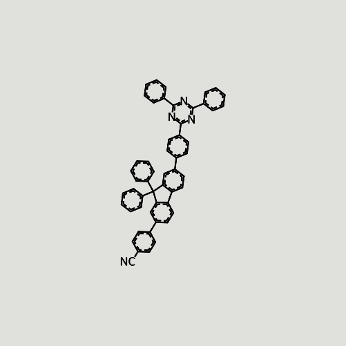 N#Cc1ccc(-c2ccc3c(c2)C(c2ccccc2)(c2ccccc2)c2cc(-c4ccc(-c5nc(-c6ccccc6)nc(-c6ccccc6)n5)cc4)ccc2-3)cc1